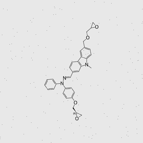 Cn1c2ccc(COCC3CO3)cc2c2ccc(C=NN(c3ccccc3)c3ccc(OC[C@H]4CO4)cc3)cc21